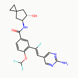 Nc1ncc(/C=C(\F)c2cc(C(=O)N[C@H]3CC4(CC4)C[C@@H]3O)ccc2OC(F)F)cn1